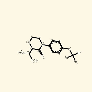 [2H]C([2H])([2H])Oc1ccc(N2CCO[C@H]([C@@H](OC(C)=O)C(=O)O)C2=O)cc1